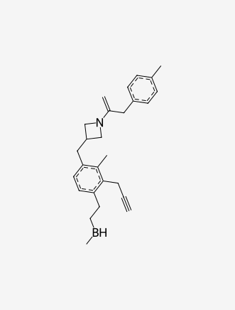 C#CCc1c(CCBC)ccc(CC2CN(C(=C)Cc3ccc(C)cc3)C2)c1C